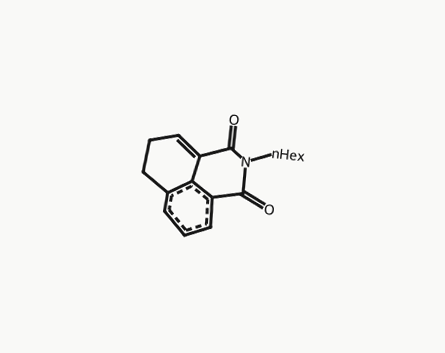 CCCCCCN1C(=O)C2=CCCc3cccc(c32)C1=O